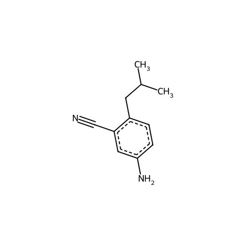 CC(C)Cc1ccc(N)cc1C#N